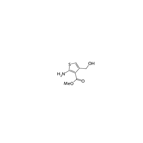 COC(=O)c1c(CO)csc1N